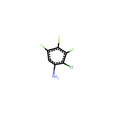 Nc1cc(F)c(F)c(F)c1Cl